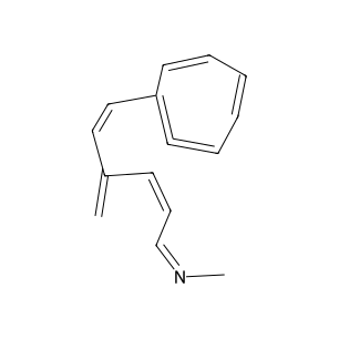 C=C(/C=C\C=N/C)/C=C\C1=C=CC=CC=C1